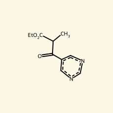 CCOC(=O)C(C)C(=O)c1cncnc1